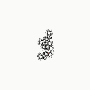 c1ccc(-c2ccccc2N(c2ccc3oc4ccccc4c3c2)c2cccc3c2-c2ccccc2C32c3ccccc3-c3cc4c(cc32)sc2ccccc24)cc1